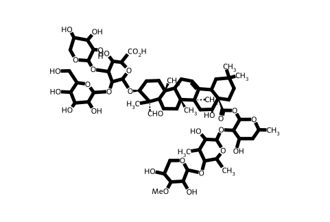 COC1C(O)COC(OC2C(C)OC(OC3C(O)CC(C)OC3OC(=O)[C@]34CCC(C)(C)CC3C3=CCC5[C@@]6(C)CC[C@H](OC7OC(C(=O)O)C(O)C(OC8OCC(O)C(O)C8O)C7OC7OC(CO)C(O)C(O)C7O)[C@@](C)(C=O)C6CC[C@@]5(C)[C@]3(C)C[C@H]4O)C(O)C2C)C1O